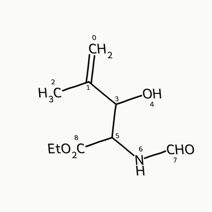 C=C(C)C(O)C(NC=O)C(=O)OCC